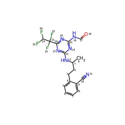 CC(CCc1ccccc1C#N)Nc1nc(NC=O)nc(C(F)(F)C(F)F)n1